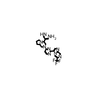 N=C/C(=C\N)C1CN(c2ccnc(-c3cnc4cnc(C(F)(F)F)cn34)n2)CC2CCCN21